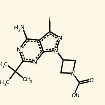 CC(C)(C)c1nc(N)c2c(I)nn(C3CN(C(=O)O)C3)c2n1